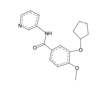 COc1ccc(C(=O)Nc2cccnc2)cc1OC1CCCC1